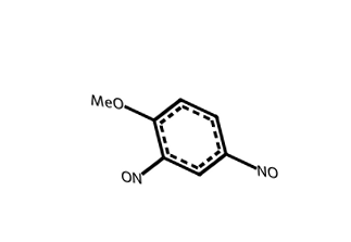 COc1ccc(N=O)cc1N=O